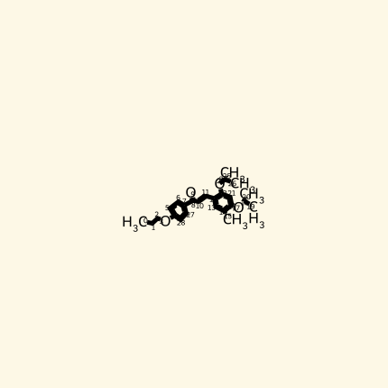 CCCOc1ccc(C(=O)C=Cc2cc(C)c(OC(C)C)cc2OC(C)C)cc1